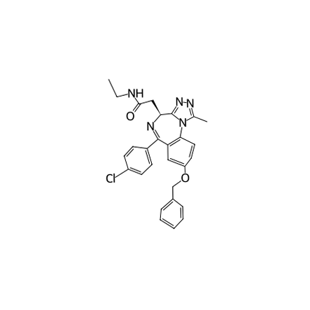 CCNC(=O)C[C@@H]1N=C(c2ccc(Cl)cc2)c2cc(OCc3ccccc3)ccc2-n2c(C)nnc21